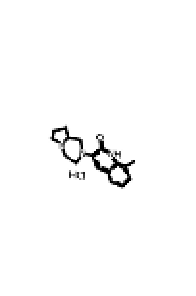 Cc1cccc2cc(N3CCN4CCCC4C3)c(=O)[nH]c12.Cl